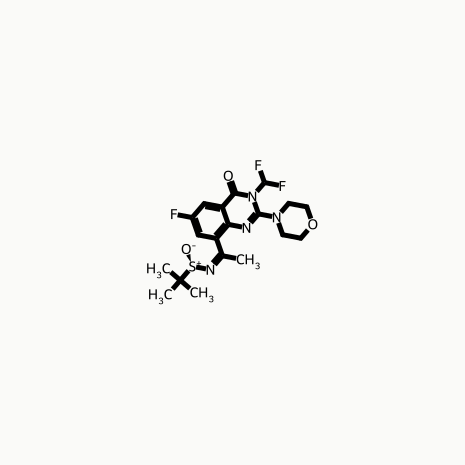 C/C(=N/[S@+]([O-])C(C)(C)C)c1cc(F)cc2c(=O)n(C(F)F)c(N3CCOCC3)nc12